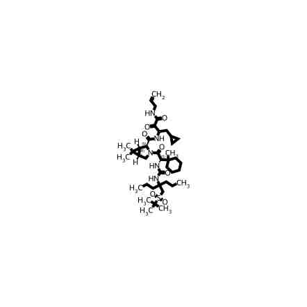 C=CCNC(=O)C(=O)C(CC1CC1)NC(=O)[C@@H]1[C@@H]2[C@H](CN1C(=O)[C@@H](NC(=O)NC(CCC)(CCC)CS(=O)(=O)C(C)(C)C)C1(C)CCCCC1)C2(C)C